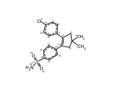 CC1(C)CC(c2ccc(Cl)cc2)=C(c2ccc(S(N)(=O)=O)cc2)C1